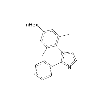 CCCCCCc1cc(C)c(-n2ccnc2-c2ccccc2)c(C)c1